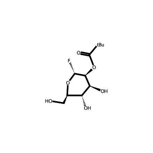 CC(C)(C)C(=O)O[C@H]1[C@@H](O)[C@H](O)[C@@H](CO)O[C@@H]1F